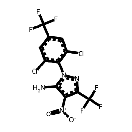 Nc1c([N+](=O)[O-])c(C(F)(F)F)nn1-c1c(Cl)cc(C(F)(F)F)cc1Cl